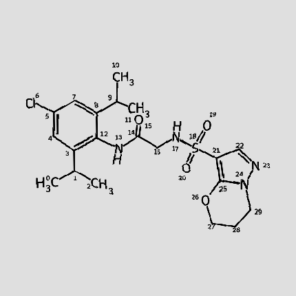 CC(C)c1cc(Cl)cc(C(C)C)c1NC(=O)CNS(=O)(=O)c1cnn2c1OCCC2